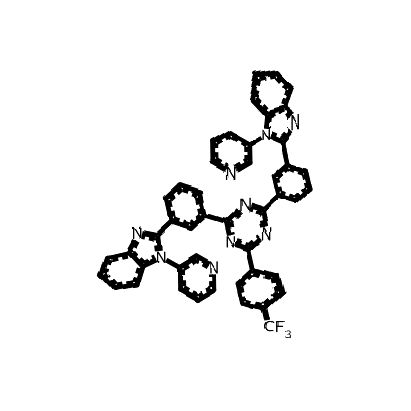 FC(F)(F)c1ccc(-c2nc(-c3cccc(-c4nc5ccccc5n4-c4cccnc4)c3)nc(-c3cccc(-c4nc5ccccc5n4-c4cccnc4)c3)n2)cc1